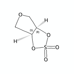 O=S1(=O)O[C@H]2COC[C@H]2O1